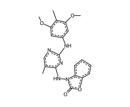 COc1cc(Nc2ncc(C)c(Nn3c(=O)oc4ccccc43)n2)cc(OC)c1C